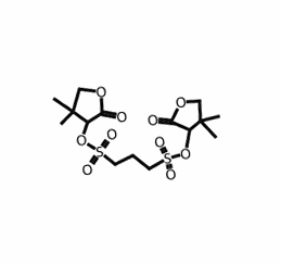 CC1(C)COC(=O)C1OS(=O)(=O)CCCS(=O)(=O)OC1C(=O)OCC1(C)C